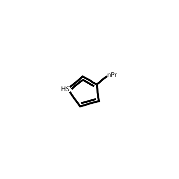 CCCC1=C=[SH]C=C1